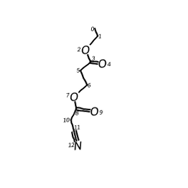 CCOC(=O)CCOC(=O)CC#N